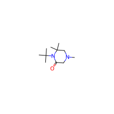 CN1CC(=O)N(C(C)(C)C)C(C)(C)C1